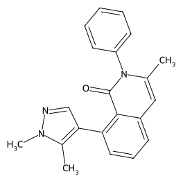 Cc1c(-c2cccc3cc(C)n(-c4ccccc4)c(=O)c23)cnn1C